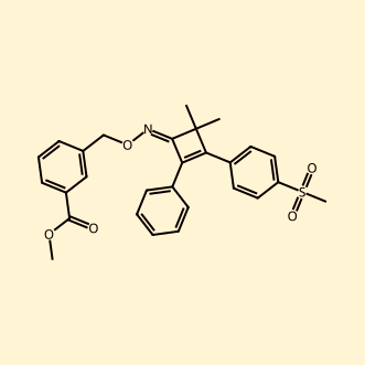 COC(=O)c1cccc(CON=C2C(c3ccccc3)=C(c3ccc(S(C)(=O)=O)cc3)C2(C)C)c1